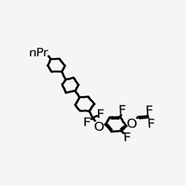 CCCC1CCC(C2CCC(C3CCC(C(F)(F)Oc4cc(F)c(OC=C(F)F)c(F)c4)CC3)CC2)CC1